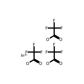 O=C([O-])C(F)(F)F.O=C([O-])C(F)(F)F.O=C([O-])C(F)(F)F.[In+3]